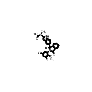 Cc1c(I)cc(Cl)cc1N1C(=O)c2ccccc2C1(O)c1ccc2[nH]c(N(C)C(=O)O)nc2c1